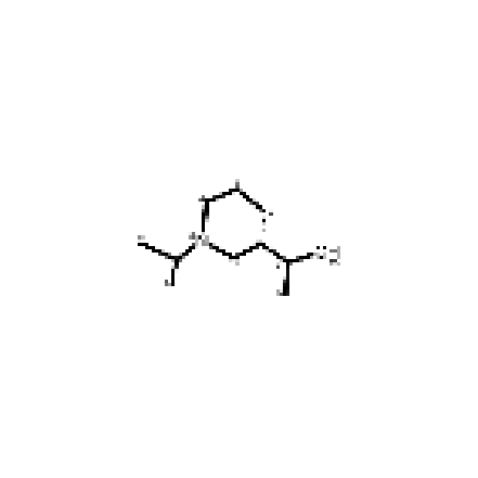 CC(C)N1CCC[C@H]([C@H](C)O)C1